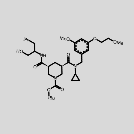 COCCOc1cc(CN(C(=O)[C@@H]2C[C@H](C(=O)NC(CO)CC(C)C)CN(C(=O)OC(C)(C)C)C2)C2CC2)cc(OC)c1